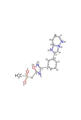 CS(=O)(=O)Cc1nc(-c2cccc(-c3cn4ncccc4n3)c2)no1